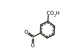 O=C(O)c1cccc(I(=O)=O)c1